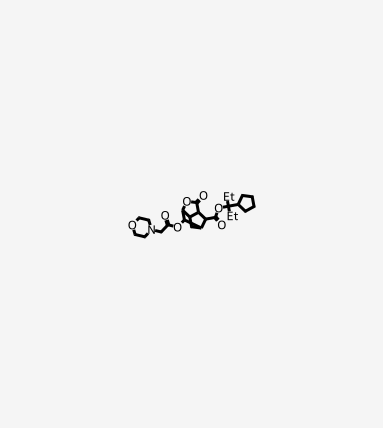 CCC(CC)(OC(=O)C1C2CC3C(OC(=O)C31)C2OC(=O)CN1CCOCC1)C1CCCC1